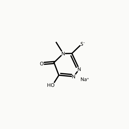 Cn1c([S-])nnc(O)c1=O.[Na+]